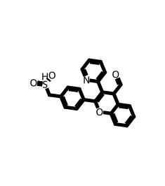 O=CC1C(c2ccccn2)=C(c2ccc(C[SH](=O)=O)cc2)Oc2ccccc21